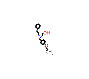 C=CCOc1ccc(CN(C/C=C/c2ccccc2)CCO)cc1